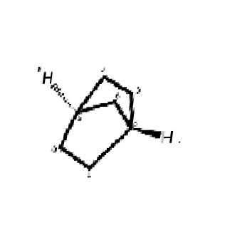 [CH]1C[C@H]2CC[C@H]1C2